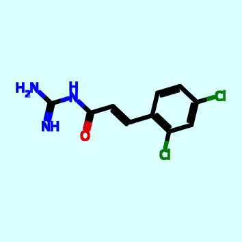 N=C(N)NC(=O)C=Cc1ccc(Cl)cc1Cl